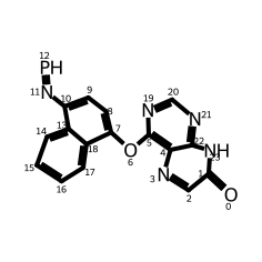 O=c1cnc2c(Oc3ccc(N=P)c4ccccc34)ncnc2[nH]1